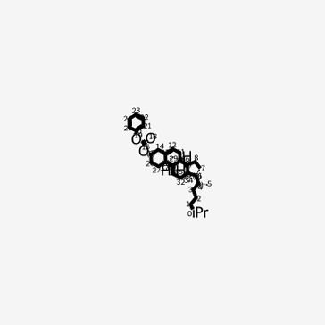 CC(C)CCC[C@@H](C)[C@H]1CC[C@H]2[C@@H]3CC=C4C[C@@H](OC(=O)Oc5ccccc5)CC[C@]4(C)[C@H]3CC[C@]12C